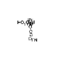 CC(C)[C@@H](NS(=O)(=O)c1ccc(-c2ccc(OCc3cccc(C#N)c3)cc2)cc1)C(=O)O